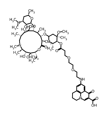 CC[C@H]1OC(=O)[C@H](C)[C@@H](OC2C[C@@](C)(OC)[C@@H](OC(=O)CCOCCOCCNc3cc4c5c(c3)c(=O)c(C(=O)O)cn5CCC4)[C@H](C)O2)[C@H](C)[C@@H](O[C@@H]2O[C@H](C)C[C@H](N(C)C)[C@H]2O)[C@](C)(O)C[C@@H](C)CN(C)[C@H](C)[C@@H](O)[C@]1(C)O